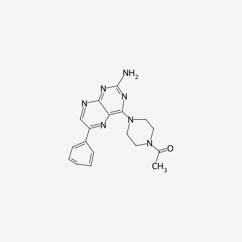 CC(=O)N1CCN(c2nc(N)nc3ncc(-c4ccccc4)nc23)CC1